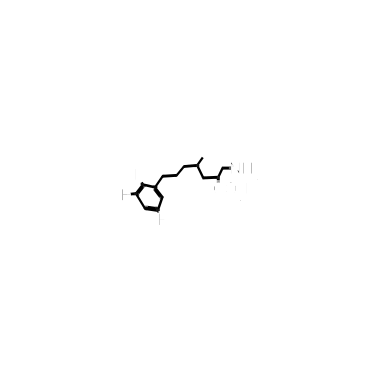 CC(CCCc1cc(F)cc(F)c1F)CC(CN)C(=O)O